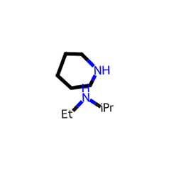 C1CCNCC1.CCNC(C)C